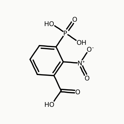 O=C(O)c1cccc(P(=O)(O)O)c1[N+](=O)[O-]